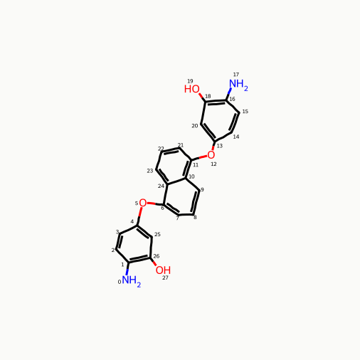 Nc1ccc(Oc2cccc3c(Oc4ccc(N)c(O)c4)cccc23)cc1O